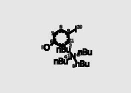 CCCC[N+](CCCC)(CCCC)CCCC.[O-]c1ccc(I)cc1